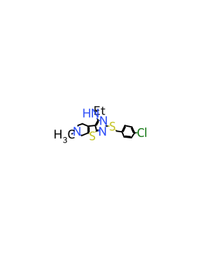 CCNc1nc(SCc2ccc(Cl)cc2)nc2sc3c(c12)CCN(C)C3